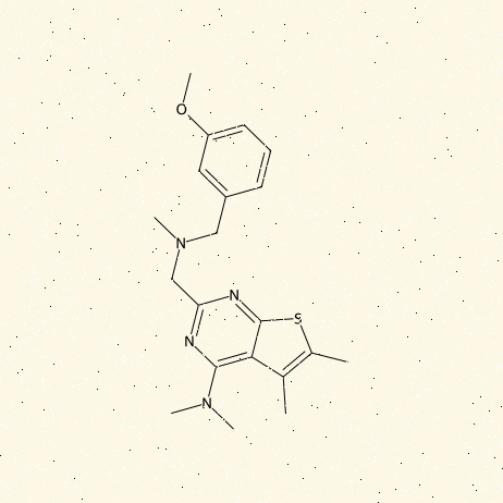 COc1cccc(CN(C)Cc2nc(N(C)C)c3c(C)c(C)sc3n2)c1